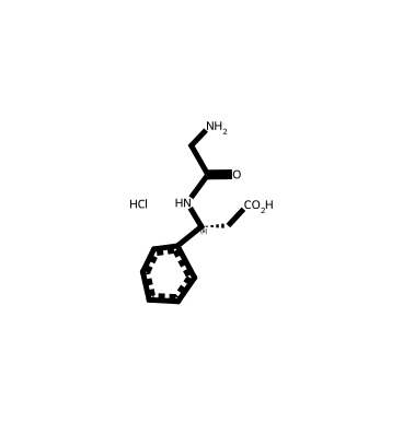 Cl.NCC(=O)N[C@H](CC(=O)O)c1ccccc1